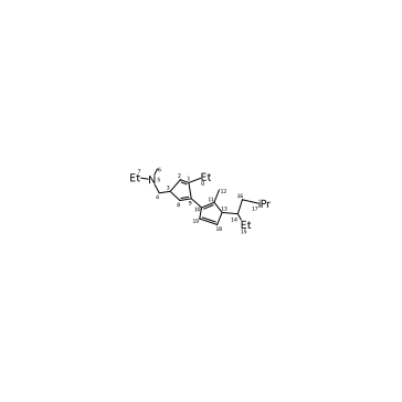 CCC1=CC(CN(C)CC)C=C1C1=C(C)C(C(CC)CC(C)C)C=C1